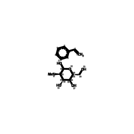 C=Cc1ccccc1.CN[C@H]1C(O)O[C@H](CO)[C@@H](O)[C@@H]1O